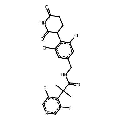 CC(C)(C(=O)NCc1cc(Cl)c(C2CCC(=O)NC2=O)c(Cl)c1)c1c(F)cncc1F